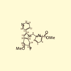 COC(=O)c1cccc(Cn2c(-c3cccnc3)cc3cc(OC)c(F)cc32)n1